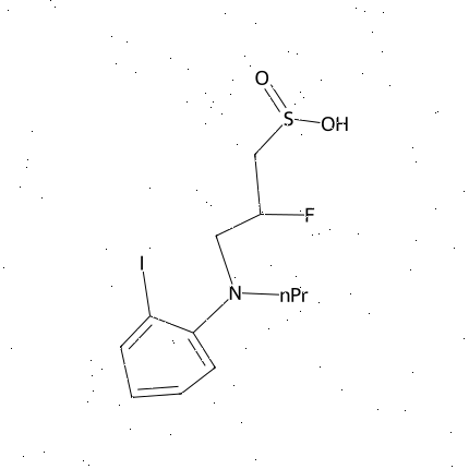 CCCN(CC(F)CS(=O)O)c1ccccc1I